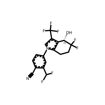 N#Cc1ccc(-n2cc(C(F)(F)F)c3c2CCC(F)(F)[C@H]3O)cc1C(F)F